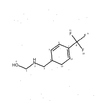 OCNCC1C=CC(C(F)(F)F)=CC1